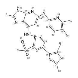 Cc1nc2c(Nc3ccc(-c4nc(C)sc4C)cc3S(C)(=O)=O)cc(Nc3cnc(C)c(C)n3)nc2[nH]1